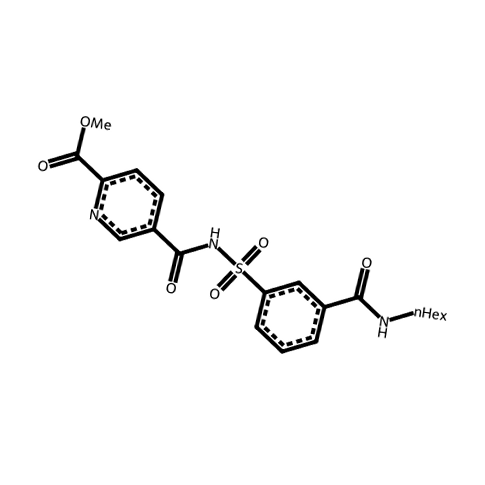 CCCCCCNC(=O)c1cccc(S(=O)(=O)NC(=O)c2ccc(C(=O)OC)nc2)c1